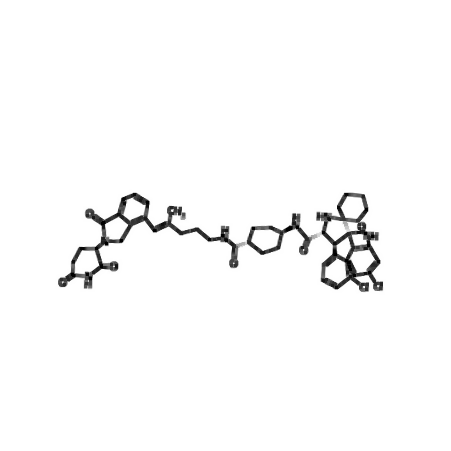 C/C(=C\c1cccc2c1CN(C1CCC(=O)NC1=O)C2=O)CCCNC(=O)[C@H]1CC[C@H](NC(=O)[C@@H]2NC3(CCCCC3)[C@@]3(C(=O)Nc4cc(Cl)ccc43)[C@H]2c2cccc(Cl)c2)CC1